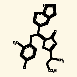 CN(CC(=O)O)C1=NC(=O)C(=C(Cc2ccc(Cl)cc2C(F)(F)F)c2ccc3[nH]ncc3c2)S1